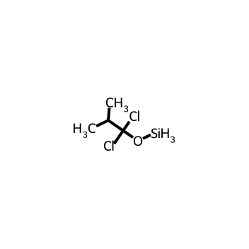 CC(C)C(Cl)(Cl)O[SiH3]